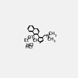 CC[O][Ti]([CH3])[c]1c(C2=C(CN(C)C)C=CC2)ccc2ccccc12.Cl.Cl